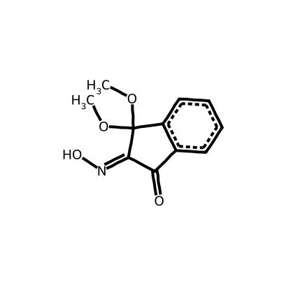 COC1(OC)C(=NO)C(=O)c2ccccc21